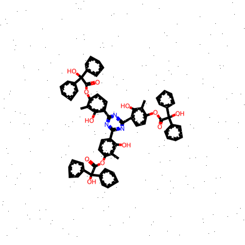 Cc1c(OC(=O)C(O)(c2ccccc2)c2ccccc2)ccc(-c2nc(-c3ccc(OC(=O)C(O)(c4ccccc4)c4ccccc4)c(C)c3O)nc(-c3ccc(OC(=O)C(O)(c4ccccc4)c4ccccc4)c(C)c3O)n2)c1O